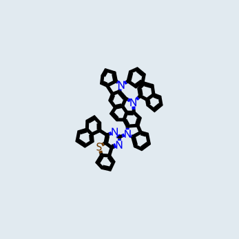 c1ccc(-n2c3ccccc3c3cc4ccc5c6c4c(c32)n(-c2cccc3ccccc23)c6cc2c3ccccc3n(-c3nc(-c4cccc6ccccc46)c4sc6ccccc6c4n3)c25)cc1